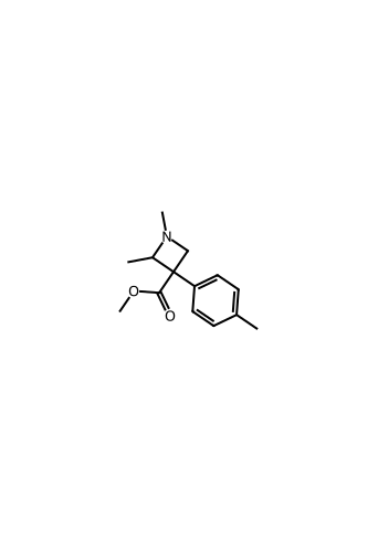 COC(=O)C1(c2ccc(C)cc2)CN(C)C1C